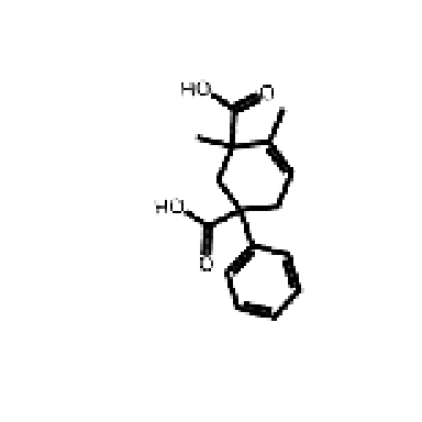 CC1=CCC(C(=O)O)(c2ccccc2)CC1(C)C(=O)O